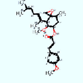 COc1ccc(C=CC(=O)OC2CC(C)C3(CO3)C(C(C)=CCCC(C)C)C2OC)cc1